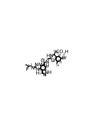 CN/C(=N\CC(C)F)Nc1cc(C(=O)NCC(=O)NC(CC(=O)O)c2cc(C)cc(Br)c2)cc2[nH]ncc12